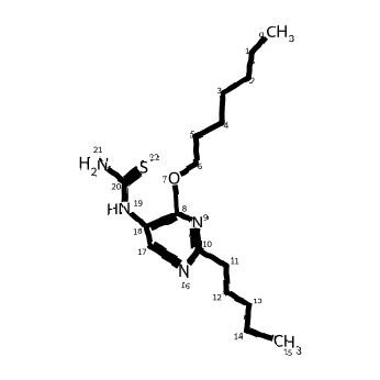 CCCCCCCOc1nc(CCCCC)ncc1NC(N)=S